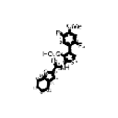 COc1cc(F)c(-c2csc(NC(=O)c3cc4c(o3)=CCCC=4)c2C(=O)O)cc1F